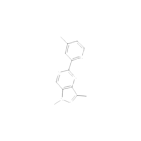 Cc1ccnc(-c2ncc3c(n2)c(C)nn3C)c1